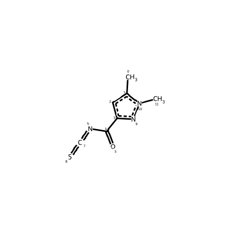 Cc1cc(C(=O)N=C=S)nn1C